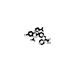 CC(C)c1ccnn1C1(C(=O)Nc2ccc(Cl)cc2OC(F)F)CCN(C[C@@H](C(=O)O)N2CCOCC2)CC1